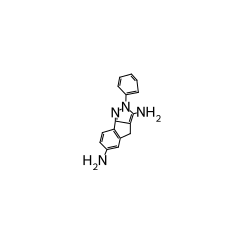 Nc1ccc2c(c1)Cc1c-2nn(-c2ccccc2)c1N